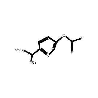 CCCCCCC(CCCC)c1ccc(OC(F)F)cn1